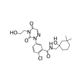 CC1(C)CCCC(O)(CNC(=O)c2cc(-n3ncc(=O)n(CCO)c3=O)ccc2Cl)C1